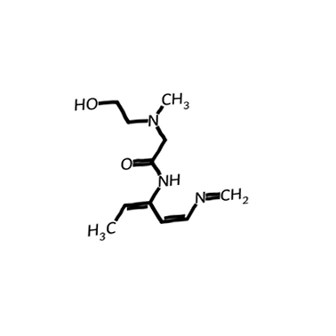 C=N/C=C\C(=C/C)NC(=O)CN(C)CCO